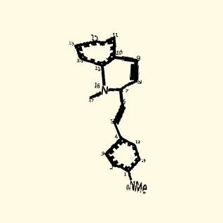 CNc1ccc(C=CC2C=Cc3ccccc3N2C)cc1